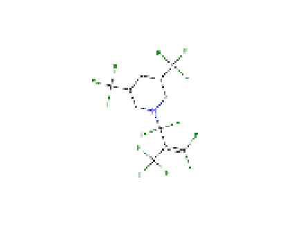 FC(F)=C(C(F)(F)F)C(F)(F)N1CC(C(F)(F)F)CC(C(F)(F)F)C1